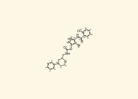 O=C(NCC1CN(c2ccccc2)CCO1)Oc1n[nH]c(NC(=O)c2ccccc2Cl)c1Br